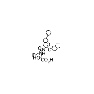 CC(C)CN(CC(O)C(=O)O)C(=O)N[C@@H](Cc1ccc(-c2ccccc2)cc1)C(=O)Oc1ccc2c(c1)CCC2